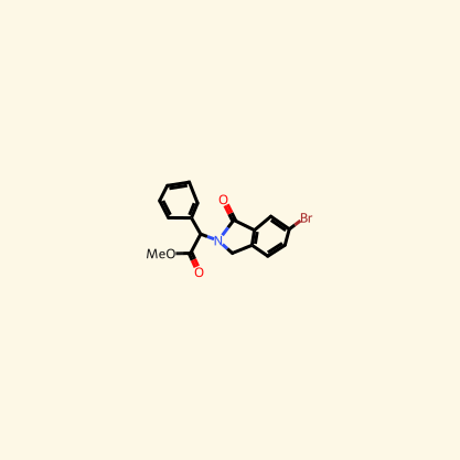 COC(=O)C(c1ccccc1)N1Cc2ccc(Br)cc2C1=O